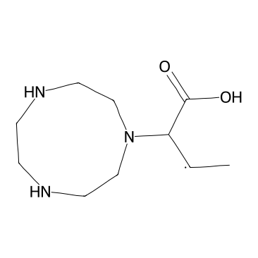 C[CH]C(C(=O)O)N1CCNCCNCC1